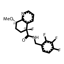 CO[C@H]1CC[C@@](F)(C(=O)NCc2ccc(F)c(F)c2F)c2cccnc21